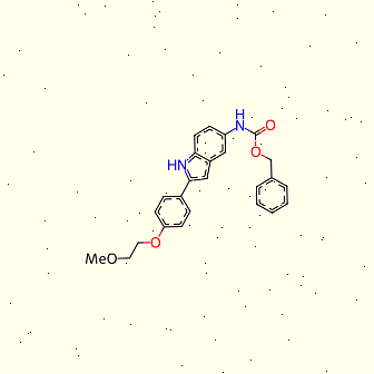 COCCOc1ccc(-c2cc3cc(NC(=O)OCc4ccccc4)ccc3[nH]2)cc1